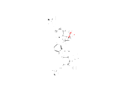 C[Si](C)(C)O[C@H]1[C@H](O)[C@@H](COP(=O)(Cl)Cl)OC(Oc2ccc(OC3(O[Si](C)(C)C)O[C@H](COP(=O)(Cl)Cl)[C@@H](O)[C@H](O[Si](C)(C)C)[C@@H]3O[Si](C)(C)C)cc2)(O[Si](C)(C)C)[C@H]1O[Si](C)(C)C